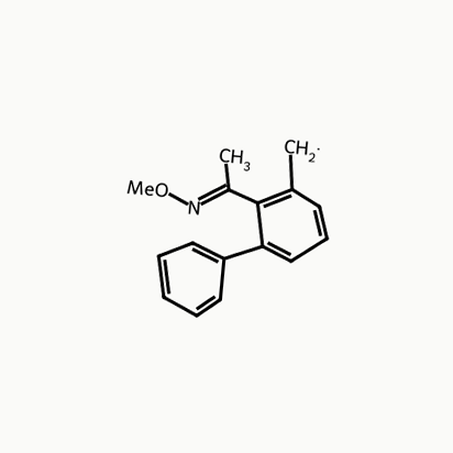 [CH2]c1cccc(-c2ccccc2)c1C(C)=NOC